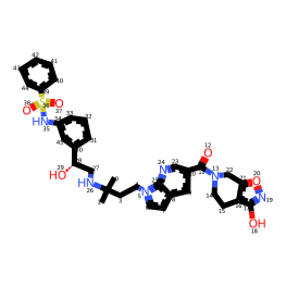 CC(C)(CCn1ccc2cc(C(=O)N3CCc4c(O)noc4C3)cnc21)NC[C@H](O)c1cccc(NS(=O)(=O)c2ccccc2)c1